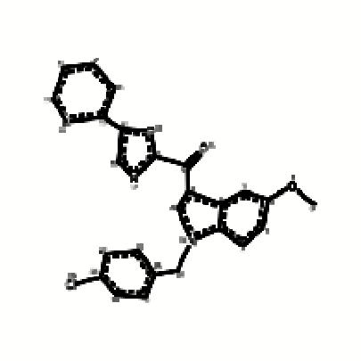 COc1ccc2c(c1)c(C(=O)c1ncc(-c3ccccn3)o1)cn2Cc1ccc(Cl)cc1